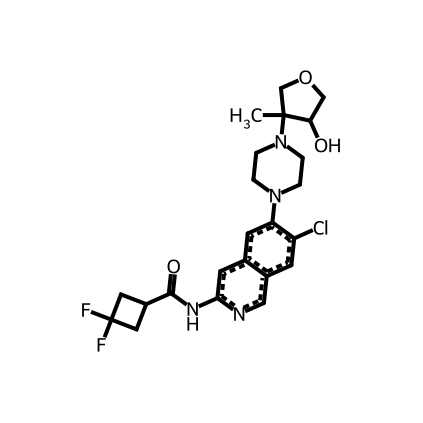 CC1(N2CCN(c3cc4cc(NC(=O)C5CC(F)(F)C5)ncc4cc3Cl)CC2)COCC1O